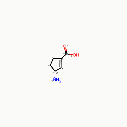 N[C@H]1C=C(C(=O)O)CC1